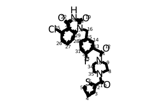 O=C(c1cccs1)N1CCN(C(=O)c2cc(Cn3c(=O)[nH]c(=O)c4c(Cl)cccc43)ccc2F)CC1